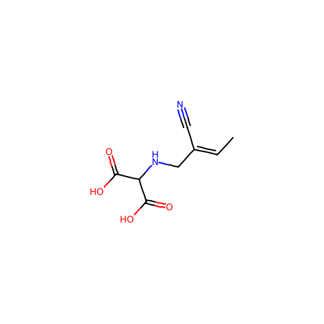 CC=C(C#N)CNC(C(=O)O)C(=O)O